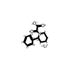 O=C([O-])C(=O)N1CCCCC1c1ccccc1.[Li+]